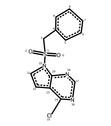 O=S(=O)(Cc1ccccc1)n1ccc2c(Cl)ncnc21